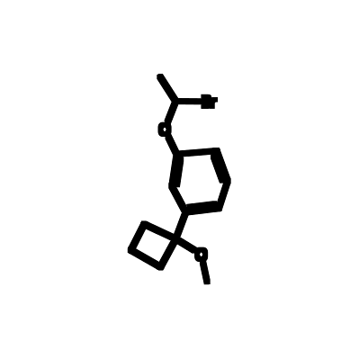 COC1(c2cccc(OC(C)Br)c2)CCC1